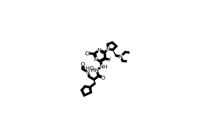 CCN(CC)C[C@@H]1CCCN1c1nc(Cl)nc(NNC(=O)[C@@H](CC2CCCC2)CN(O)C=O)c1F